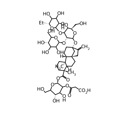 C=C1C[C@@]23CC[C@H]4[C@@](C)(CCC[C@@]4(C)C(=O)O[C@@H]4OC(CO)[C@@H](O)C(O)C4OC(=O)CC(=O)O)[C@@H]2CC[C@]1(OC1O[C@H](CO)C(O)C(OC2O[C@H](CC)C(O)C(O)[C@H]2O)[C@H]1O[C@@H]1OC(CO)[C@@H](O)C(O)C1O)C3